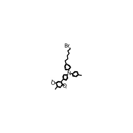 COc1cc(-c2ccc(N(c3ccc(C)cc3)c3ccc(CCCCCCBr)cc3)cc2)c(OC)cc1C